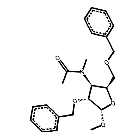 CO[C@H]1O[C@H](COCc2ccccc2)[C@H](N(C)C(C)=O)[C@H]1OCc1ccccc1